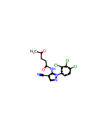 CC(=O)CCC(=O)Nc1c(C#N)cnn1-c1ccc(Cl)c(Cl)c1Cl